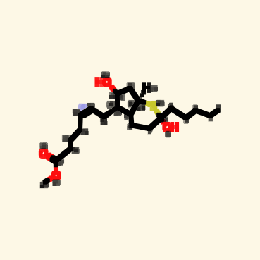 CCCCCC1(O)CCC2[C@@H](C/C=C\CCCC(=O)OC)[C@@H](O)C[C@H]2S1